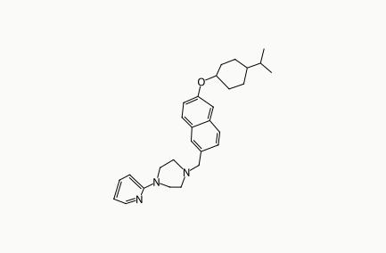 CC(C)C1CCC(Oc2ccc3cc(CN4CCN(c5ccccn5)CC4)ccc3c2)CC1